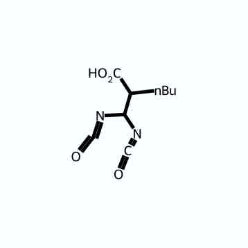 CCCCC(C(=O)O)C(N=C=O)N=C=O